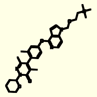 Cc1cc(Oc2nccc3c2ccn3COCC[Si](C)(C)C)ccc1-c1c(C)nn(C2CCCCO2)c(=O)c1C